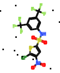 O=[N+]([O-])c1cc(S(=O)(=O)Nc2cc(C(F)(F)F)cc(C(F)(F)F)c2)sc1Cl